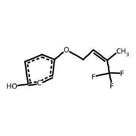 CC(=CCOc1ccc(O)cc1)C(F)(F)F